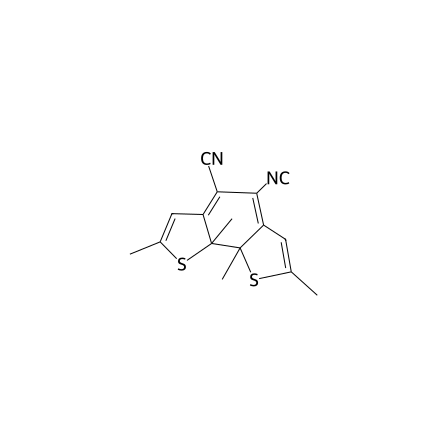 [C-]#[N+]C1=C2C=C(C)SC2(C)C2(C)SC(C)=CC2=C1C#N